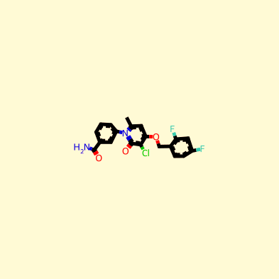 Cc1cc(OCc2ccc(F)cc2F)c(Cl)c(=O)n1-c1cccc(C(N)=O)c1